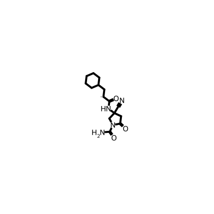 N#CC1(NC(=O)[CH]CC2CCCCC2)CC(=O)N(C(N)=O)C1